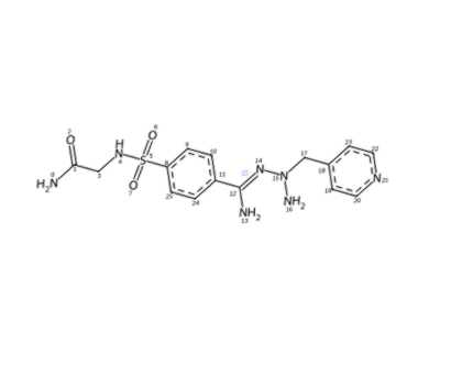 NC(=O)CNS(=O)(=O)c1ccc(/C(N)=N/N(N)Cc2ccncc2)cc1